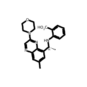 Cc1cc([C@@H](C)Nc2ccccc2C(=O)O)c2nc(N3CCOCC3)cnc2c1